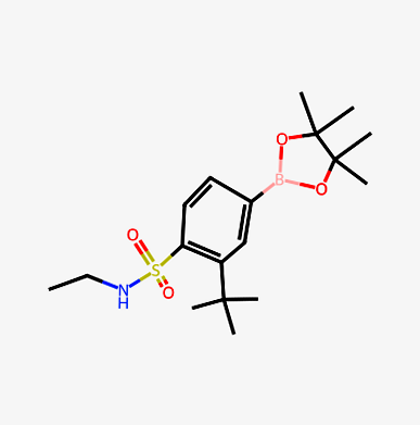 CCNS(=O)(=O)c1ccc(B2OC(C)(C)C(C)(C)O2)cc1C(C)(C)C